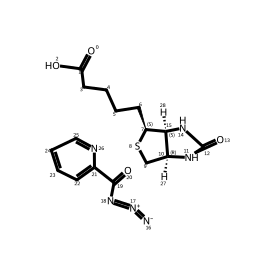 O=C(O)CCCC[C@@H]1SC[C@@H]2NC(=O)N[C@@H]21.[N-]=[N+]=NC(=O)c1ccccn1